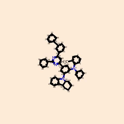 Cc1ccccc1N(c1ccccc1)c1cc(-c2cc(-c3cccc(-c4ccccc4)c3)nc(-c3ccccc3)n2)cc(N2c3ccccc3C3CCC=CC32)c1